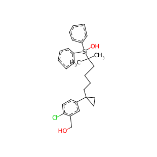 CC(C)(CCCCC1(c2ccc(Cl)c(CO)c2)CC1)[Si](O)(c1ccccc1)c1ccccc1